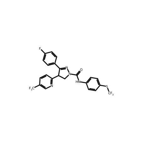 O=C(Nc1ccc(SC(F)(F)F)cc1)N1CC(c2ccc(C(F)(F)F)cn2)C(c2ccc(F)cc2)=N1